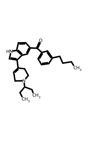 CCCCc1cccc(C(=O)c2ccc3[nH]cc(C4=CCN(C(CC)CC)CC4)c3c2)c1